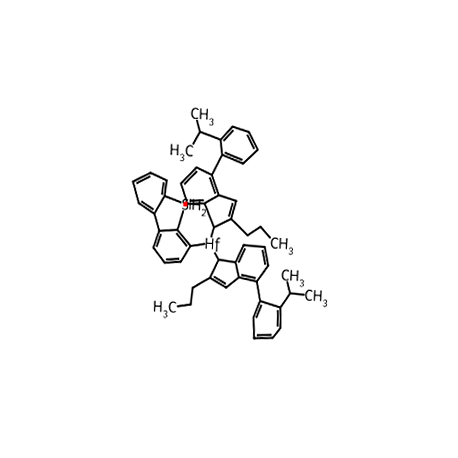 CCCC1=Cc2c(-c3ccccc3C(C)C)cccc2[CH]1[Hf]([c]1cccc2c1[SiH2]c1ccccc1-2)[CH]1C(CCC)=Cc2c(-c3ccccc3C(C)C)cccc21